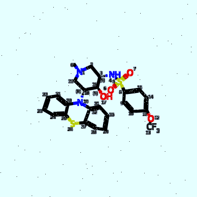 CN1C[C@H](NS(=O)(=O)c2ccc(OC(F)(F)F)cc2)[C@@H](O)[C@H](N2c3ccccc3Sc3ccccc32)C1